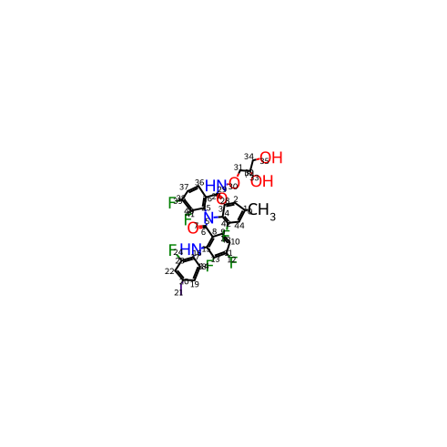 Cc1ccc(N(C(=O)c2ccc(F)c(F)c2Nc2ccc(I)cc2F)c2c(C(=O)NOC[C@H](O)CO)ccc(F)c2F)c(F)c1